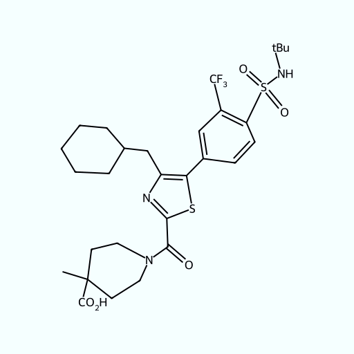 CC(C)(C)NS(=O)(=O)c1ccc(-c2sc(C(=O)N3CCC(C)(C(=O)O)CC3)nc2CC2CCCCC2)cc1C(F)(F)F